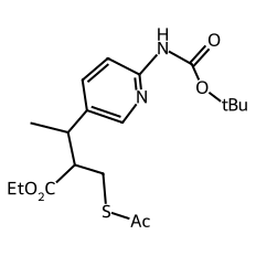 CCOC(=O)C(CSC(C)=O)C(C)c1ccc(NC(=O)OC(C)(C)C)nc1